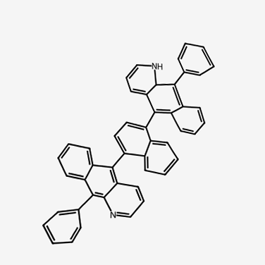 C1=CNC2C(=C1)C(c1ccc(-c3c4ccccc4c(-c4ccccc4)c4ncccc34)c3ccccc13)=c1ccccc1=C2c1ccccc1